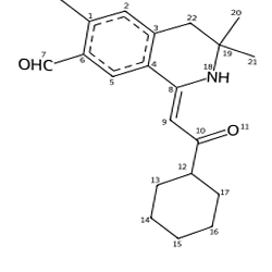 Cc1cc2c(cc1C=O)C(=CC(=O)C1CCCCC1)NC(C)(C)C2